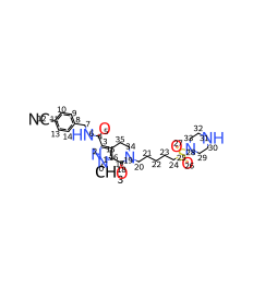 Cn1nc(C(=O)NCc2ccc(C#N)cc2)c2c1C(=O)N(CCCCCS(=O)(=O)N1CCNCC1)CC2